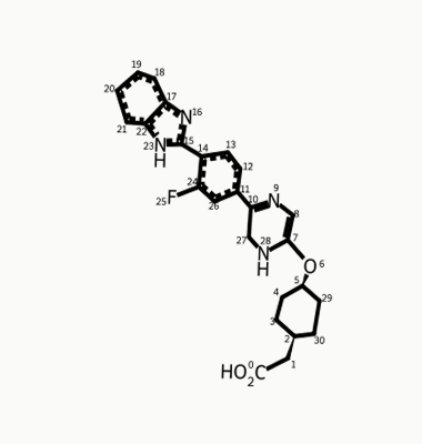 O=C(O)C[C@H]1CC[C@@H](OC2=CN=C(c3ccc(-c4nc5ccccc5[nH]4)c(F)c3)CN2)CC1